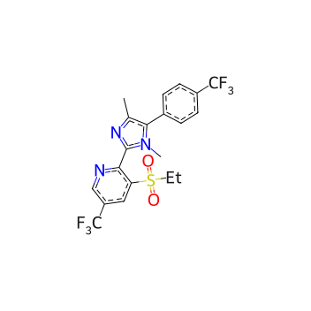 CCS(=O)(=O)c1cc(C(F)(F)F)cnc1-c1nc(C)c(-c2ccc(C(F)(F)F)cc2)n1C